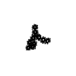 c1ccc(-c2ccc(-c3ccc(N(c4ccc(-c5ccccc5)cc4)c4ccc(-c5cccc(-n6c7ccccc7c7ccccc76)c5-c5ccccc5)cc4)cc3)cc2)cc1